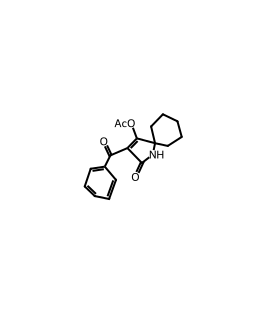 CC(=O)OC1=C(C(=O)c2ccccc2)C(=O)NC12CCCCC2